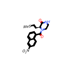 CSCC[C@H]1C(=O)NCCN1C(=O)c1cccc2cc([N+](=O)[O-])ccc12